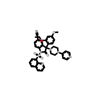 CCOc1cc(OC)ccc1C1(N2CCN(c3ccncc3)CC2)C(=O)N(S(=O)(=O)c2cccc3cccnc23)c2ccc(C#N)cc21